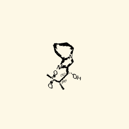 C[C@H]([C@@H](O)c1cn2ccccc2n1)S(C)(=O)=O